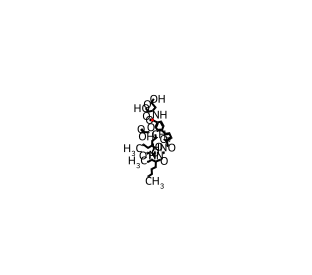 CCCCCC(C(=O)NCNC(=O)c1ccc(-c2ccc(C(=O)NC(CC(=O)O)C(=O)O)c(OCC(=O)O)c2)o1)C(CC)N(C=O)OC(=O)C(CCC)CCC